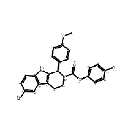 COc1ccc(C2c3[nH]c4ccc(Cl)cc4c3CCN2C(=O)Oc2ccc(Cl)cc2)cc1